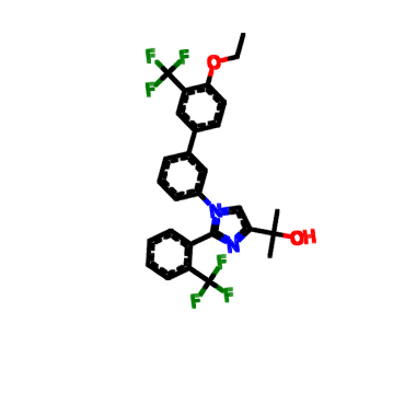 CCOc1ccc(-c2cccc(-n3cc(C(C)(C)O)nc3-c3ccccc3C(F)(F)F)c2)cc1C(F)(F)F